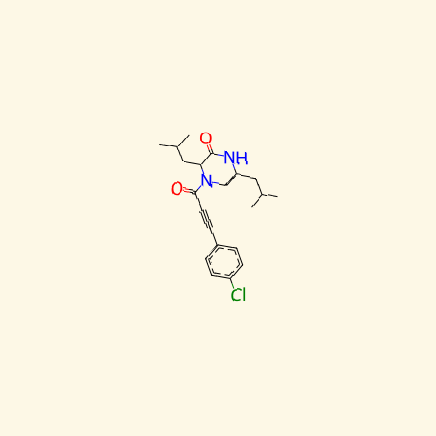 CC(C)CC1CN(C(=O)C#Cc2ccc(Cl)cc2)C(CC(C)C)C(=O)N1